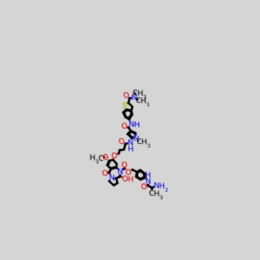 COC1=CC2=C(CC1OCCCC(=O)Nc1cc(C(=O)Nc3ccc4c(c3)CC(C(=O)N(C)C)S4)cn1C)N(C(=O)OCc1ccc(NC(=O)C(C)N)cc1)C(O)C1CCCN1C2=O